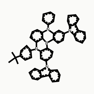 CC(C)(C)c1ccc(N2c3cc(-n4c5ccccc5c5ccccc54)ccc3B3c4ccc(-n5c6ccccc6c6ccccc65)cc4N(c4ccccc4)c4cccc2c43)cc1